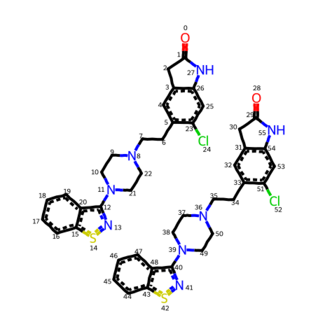 O=C1Cc2cc(CCN3CCN(c4nsc5ccccc45)CC3)c(Cl)cc2N1.O=C1Cc2cc(CCN3CCN(c4nsc5ccccc45)CC3)c(Cl)cc2N1